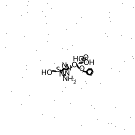 Nc1nc(SCCO)c2ncn(CO[C@H](CCP(=O)(O)O)COCc3ccccc3)c2n1